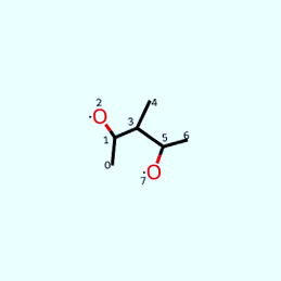 CC([O])C(C)C(C)[O]